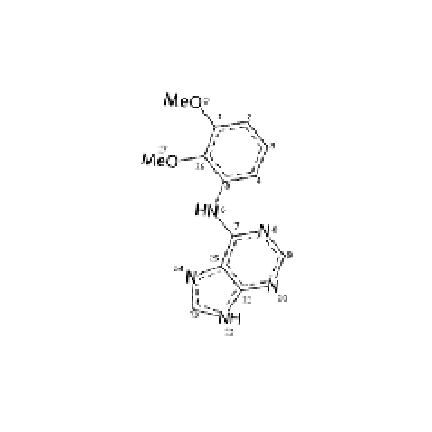 COc1cccc(Nc2ncnc3[nH]cnc23)c1OC